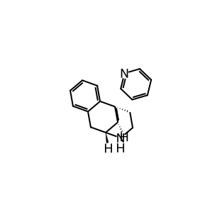 c1ccc2c(c1)C[C@H]1NCC[C@@]23CCCC[C@@H]13.c1ccncc1